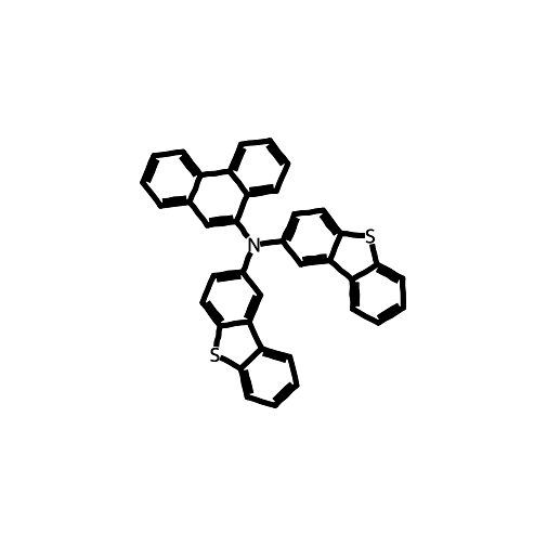 c1ccc2c(c1)cc(N(c1ccc3sc4ccccc4c3c1)c1ccc3sc4ccccc4c3c1)c1ccccc12